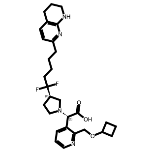 O=C(O)[C@H](c1cccnc1COC1CCC1)N1CC[C@@H](C(F)(F)CCCCc2ccc3c(n2)NCCC3)C1